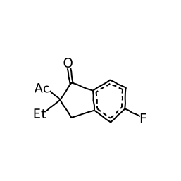 CCC1(C(C)=O)Cc2cc(F)ccc2C1=O